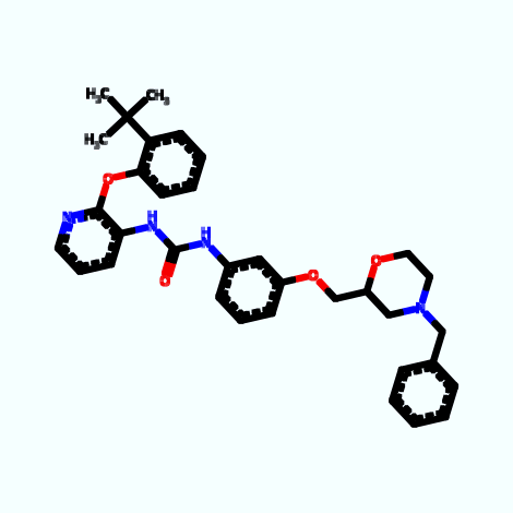 CC(C)(C)c1ccccc1Oc1ncccc1NC(=O)Nc1cccc(OCC2CN(Cc3ccccc3)CCO2)c1